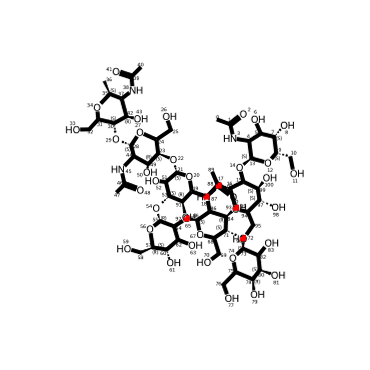 CC(=O)NC1C(O)[C@H](O)[C@H](CO)O[C@H]1OC1[C@@H](OCC2O[C@@H](O[C@@H]3C(CO)O[C@@H](O[C@@H]4C(CO)O[C@@H](C)C(NC(C)=O)[C@H]4O)C(NC(C)=O)[C@H]3O)C(O)[C@@H](O[C@H]3O[C@H](CO)[C@@H](O)C(O)C3O[C@@H]3OC(CO)[C@@H](O[C@@H]4OC(CO)[C@H](O)[C@H](O)C4O)[C@H](O)C3NC(C)=O)[C@@H]2O)OC(CO)[C@@H](O)[C@@H]1O